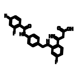 N=C(CC(=O)O)c1ccc(F)cc1NCc1ccc(NC(=O)c2ccc(F)cc2F)cc1